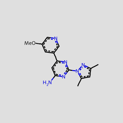 COc1cncc(-c2cc(N)nc(-n3nc(C)cc3C)n2)c1